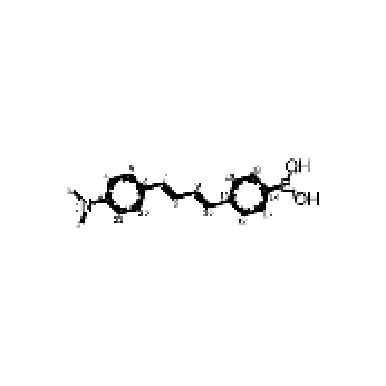 CN(C)c1ccc(/C=C/C=C/c2ccc(B(O)O)cc2)cc1